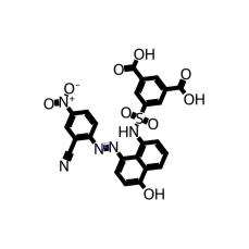 N#Cc1cc([N+](=O)[O-])ccc1/N=N/c1ccc(O)c2cccc(NS(=O)(=O)c3cc(C(=O)O)cc(C(=O)O)c3)c12